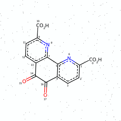 O=C(O)c1ccc2c(n1)-c1nc(C(=O)O)ccc1C(=O)C2=O